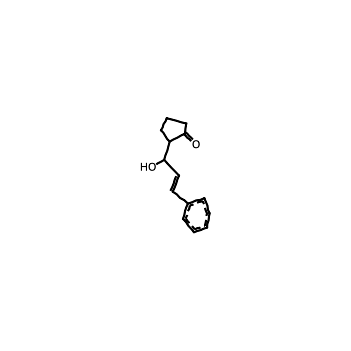 O=C1CCCC1C(O)C=Cc1ccccc1